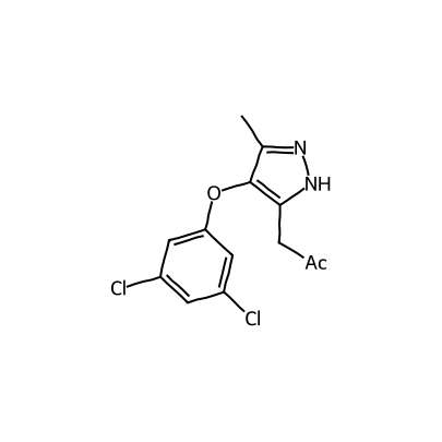 CC(=O)Cc1[nH]nc(C)c1Oc1cc(Cl)cc(Cl)c1